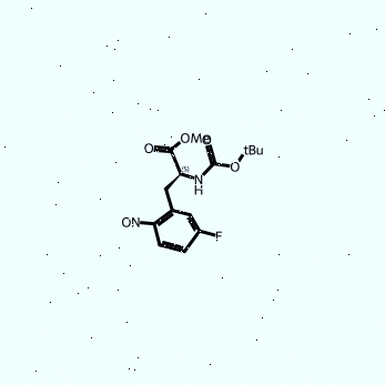 COC(=O)[C@H](Cc1cc(F)ccc1N=O)NC(=O)OC(C)(C)C